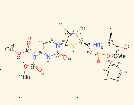 COC(=O)[C@H](C)NP(=O)(OC[C@H]1S[C@@H](n2ccc(N(C(=O)OC(C)(C)C)C(=O)OC(C)(C)C)nc2=O)[C@@H](F)[C@@H]1C)Oc1ccccc1